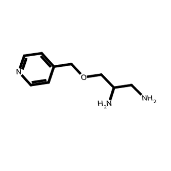 NCC(N)COCc1ccncc1